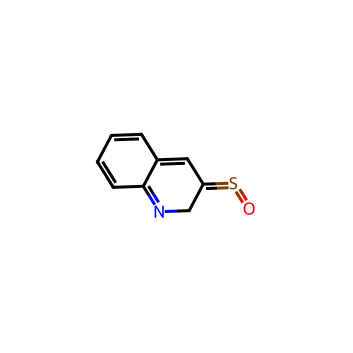 O=S=C1C=c2ccccc2=NC1